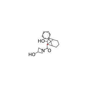 O=C(CC1(c2ccccc2)C2CCCC1CC(O)C2)N1CC(O)C1